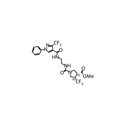 COC(=O)[C@H]1CN(C(=O)NCCNC(=O)c2cn(-c3ccccc3)nc2C(F)(F)F)C[C@@H]1C(F)(F)F